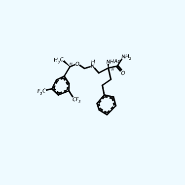 CC(=O)N[C@@](CCc1ccccc1)(CNCO[C@H](C)c1cc(C(F)(F)F)cc(C(F)(F)F)c1)C(N)=O